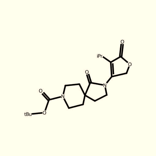 CC(C)C1=C(N2CCC3(CCN(C(=O)OC(C)(C)C)CC3)C2=O)COC1=O